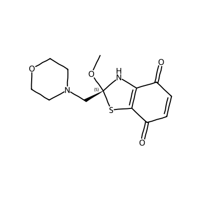 CO[C@]1(CN2CCOCC2)NC2=C(S1)C(=O)C=CC2=O